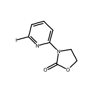 O=C1OCCN1c1cccc(I)n1